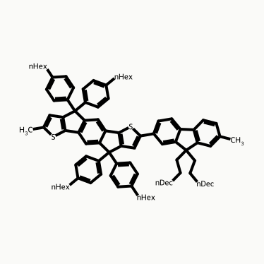 CCCCCCCCCCCCC1(CCCCCCCCCCCC)c2cc(C)ccc2-c2ccc(-c3cc4c(s3)-c3cc5c(cc3C4(c3ccc(CCCCCC)cc3)c3ccc(CCCCCC)cc3)-c3sc(C)cc3C5(c3ccc(CCCCCC)cc3)c3ccc(CCCCCC)cc3)cc21